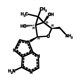 CC1(C)[C@]2(O)[C@@H](CN)O[C@@H](n3cnc4c(N)ncnc43)[C@@]12O